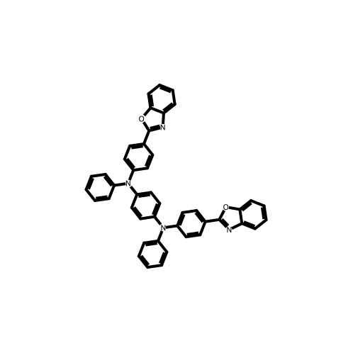 c1ccc(N(c2ccc(-c3nc4ccccc4o3)cc2)c2ccc(N(c3ccccc3)c3ccc(-c4nc5ccccc5o4)cc3)cc2)cc1